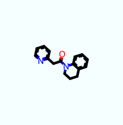 O=C(Cc1ccccn1)N1CCCc2ccccc21